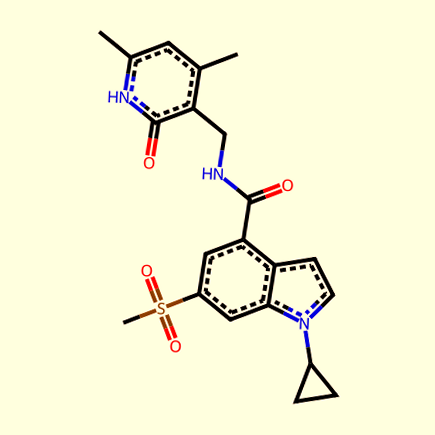 Cc1cc(C)c(CNC(=O)c2cc(S(C)(=O)=O)cc3c2ccn3C2CC2)c(=O)[nH]1